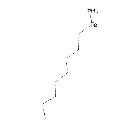 CCCCCCCC[Te]P